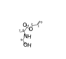 C=CCOC(=O)C(C)NCO